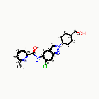 O=C(Nc1cc2cn([C@H]3CC[C@H](CO)CC3)nc2cc1Cl)c1cccc(C(F)(F)F)n1